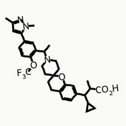 Cc1cc(-c2ccc(OC(F)(F)F)c(C(C)N3CCC4(CCc5ccc(C(C6CC6)C(C)C(=O)O)cc5O4)CC3)c2)n(C)n1